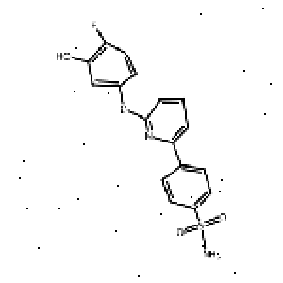 NS(=O)(=O)c1ccc(-c2cccc(Oc3ccc(F)c(O)c3)n2)cc1